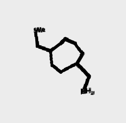 BCC1CCCC(CSC)CC1